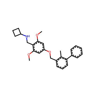 COc1cc(OCc2cccc(-c3ccccc3)c2C)cc(OC)c1CNC1CCC1